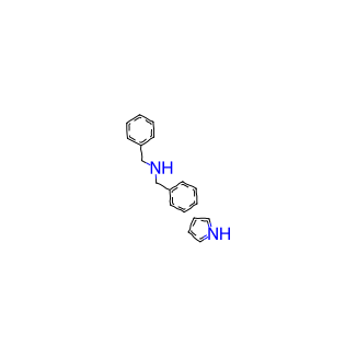 c1cc[nH]c1.c1ccc(CNCc2ccccc2)cc1